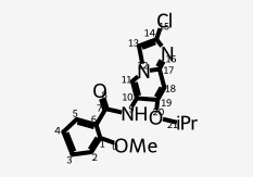 COc1ccccc1C(=O)Nc1cn2cc(Cl)nc2cc1OC(C)C